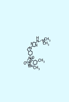 Cc1cc(C)cc(S(=O)(=O)N(CC(=O)OC(C)(C)C)c2ccc3c(ccn3-c3cnc(NCCN(C)C)cn3)c2)c1